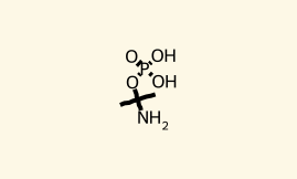 CC(C)(N)OP(=O)(O)O